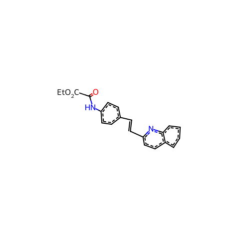 CCOC(=O)C(=O)Nc1ccc(C=Cc2ccc3ccccc3n2)cc1